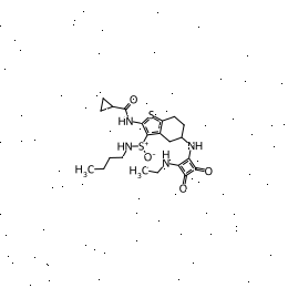 CCCCN[S+]([O-])c1c(NC(=O)C2CC2)sc2c1CC(Nc1c(NCC)c(=O)c1=O)CC2